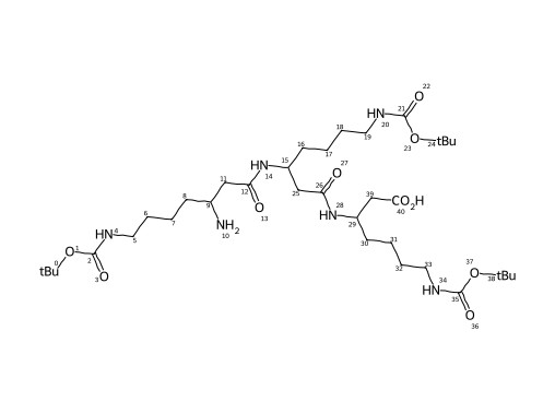 CC(C)(C)OC(=O)NCCCCC(N)CC(=O)NC(CCCCNC(=O)OC(C)(C)C)CC(=O)NC(CCCCNC(=O)OC(C)(C)C)CC(=O)O